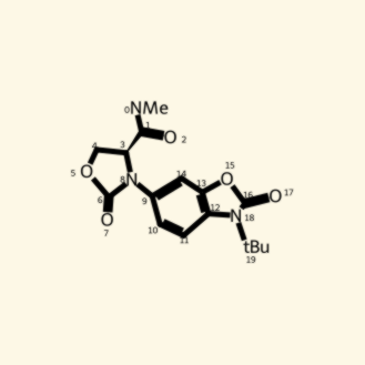 CNC(=O)[C@@H]1COC(=O)N1c1ccc2c(c1)oc(=O)n2C(C)(C)C